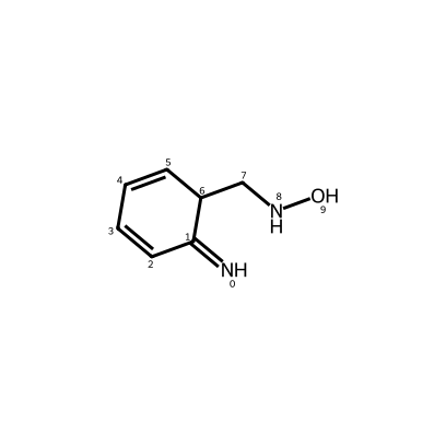 N=C1C=CC=CC1CNO